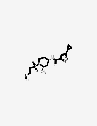 CC(C)OCCS(=O)(=O)N1CC[C@H](NC(=O)c2cc(C3CC3)on2)C[C@H]1C